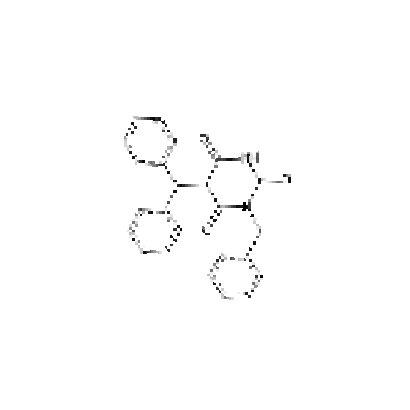 O=C1NC(=O)N(Cc2ccccc2)C(=O)C1C(c1ccccc1)c1ccccc1